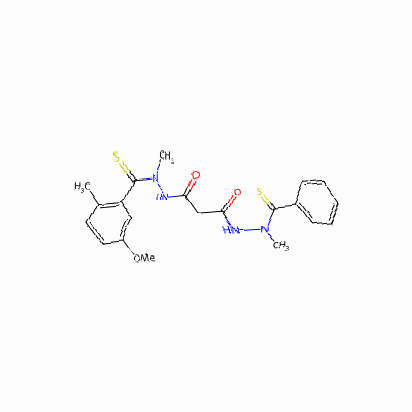 COc1ccc(C)c(C(=S)N(C)NC(=O)CC(=O)NN(C)C(=S)c2ccccc2)c1